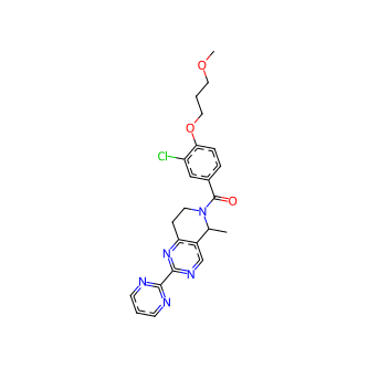 COCCCOc1ccc(C(=O)N2CCc3nc(-c4ncccn4)ncc3C2C)cc1Cl